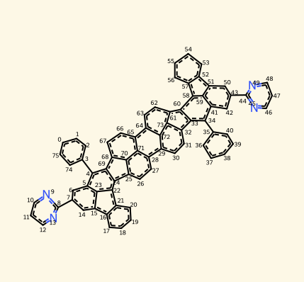 c1ccc(-c2c3cc(-c4ncccn4)cc4c5ccccc5c(c34)c3c4ccc5c6ccc7c8c(-c9ccccc9)c9cc(-c%10ncccn%10)cc%10c%11ccccc%11c(c9%10)c8c8ccc(c9ccc(c23)c4c95)c6c78)cc1